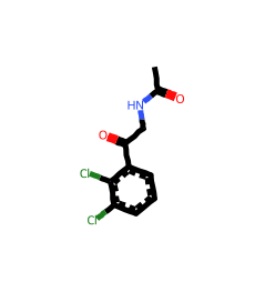 CC(=O)NCC(=O)c1cccc(Cl)c1Cl